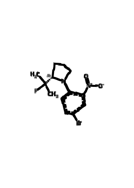 CC(C)(F)[C@@H]1CCCN1c1ccc(Br)cc1[N+](=O)[O-]